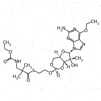 CCOC(=O)NCC(C)(C)C(=O)SCCO[P@@]1(=O)OC[C@H]2O[C@@H](n3cnc4c(OCC)nc(N)nc43)[C@](C)(O)[C@@H]2O1